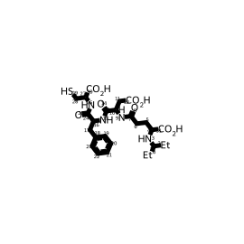 CCC(CC)NC(CCC(=O)NC(CC(=O)O)C(=O)NC(Cc1ccccc1)C(=O)NC(CS)C(=O)O)C(=O)O